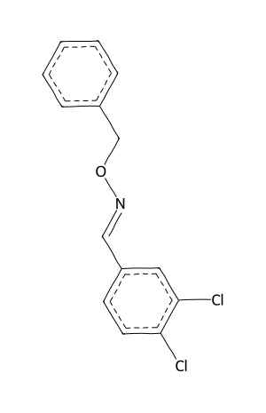 Clc1ccc(C=NOCc2ccccc2)cc1Cl